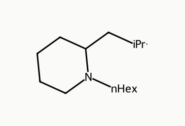 CCCCCCN1CCCCC1C[C](C)C